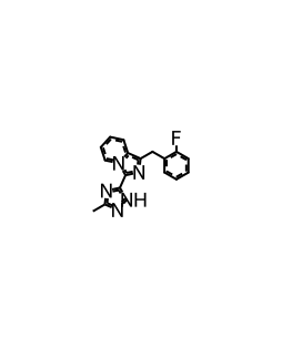 Cc1n[nH]c(-c2nc(Cc3ccccc3F)c3ccccn23)n1